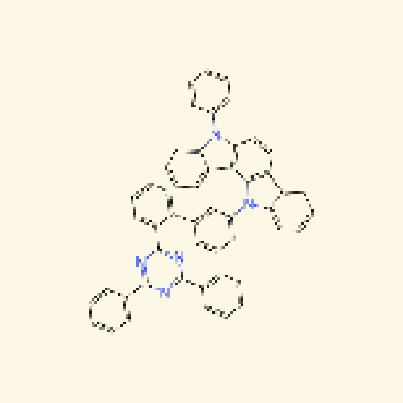 c1ccc(-c2nc(-c3ccccc3)nc(-c3ccccc3-c3cccc(-n4c5ccccc5c5ccc6c(c7ccccc7n6-c6ccccc6)c54)c3)n2)cc1